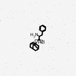 Cl.N[C@@H](Cc1ccccc1)C(=O)OC12CC3CC(CC(C3)C1)C2